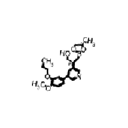 CCCOc1cc(-c2cncc([C@@H](CO)CB3OC[C@@H](C)O3)c2)ccc1OC